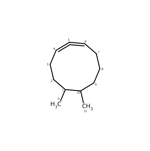 CC1CCC=C=CCCCC1C